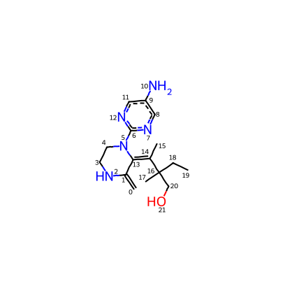 C=C1NCCN(c2ncc(N)cn2)/C1=C(\C)C(C)(CC)CO